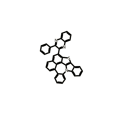 c1ccc(-c2nc3ccccc3nc2-c2cc3cccc4c5ccccc5n5c6ccccc6c6sc2c(c34)c65)cc1